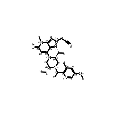 CC[C@H]1CN(C(C)c2ncc(OC)cc2C)[C@H](CC)CN1c1cc(=O)n(C)c2cn(CC#N)nc12